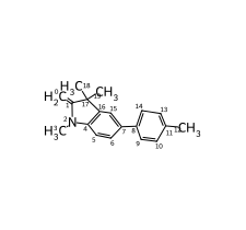 C=C1N(C)c2ccc(-c3ccc(C)cc3)cc2C1(C)C